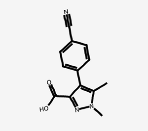 Cc1c(-c2ccc(C#N)cc2)c(C(=O)O)nn1C